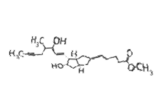 CC#CCC(C)C(O)/C=C/[C@@H]1[C@H]2C/C(=C/CCCC(=O)OC)C[C@H]2C[C@H]1O